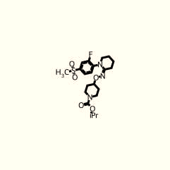 CC(C)OC(=O)N1CCC(ON=C2CCCCN2c2ccc(S(C)(=O)=O)cc2F)CC1